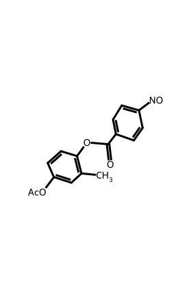 CC(=O)Oc1ccc(OC(=O)c2ccc(N=O)cc2)c(C)c1